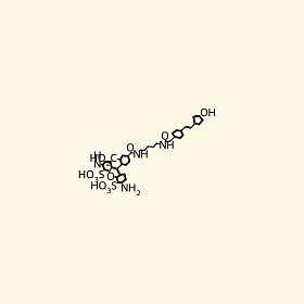 N=c1ccc2c(-c3ccc(C(=O)NCCCCCNC(=O)Cc4ccc(/C=C/c5ccc(O)cc5)cc4)cc3C(=O)O)c3ccc(N)c(S(=O)(=O)O)c3oc-2c1S(=O)(=O)O